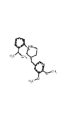 COc1cc(CN2CCN[C@H](c3ccccc3C(C)C)C2)cnc1OC